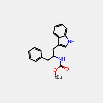 CC(C)(C)OC(=O)NC(Cc1ccccc1)Cc1c[nH]c2ccccc12